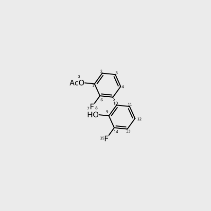 CC(=O)Oc1ccccc1F.Oc1ccccc1F